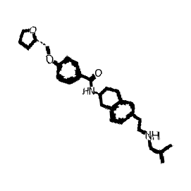 CC(C)CNCCc1ccc2c(c1)CC[C@H](NC(=O)c1ccc(OC[C@@H]3CCCO3)cc1)C2